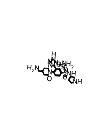 NCC1CCN(c2ccc(S(=O)(=O)N[C@@H]3CCNC3)c(S(N)(=O)=O)c2-c2nn[nH]n2)C(=O)C1